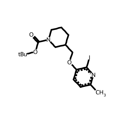 Cc1ccc(OCC2CCCN(C(=O)OC(C)(C)C)C2)c(I)n1